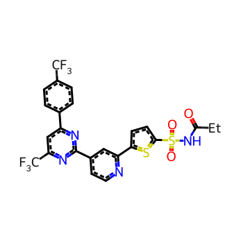 CCC(=O)NS(=O)(=O)c1ccc(-c2cc(-c3nc(-c4ccc(C(F)(F)F)cc4)cc(C(F)(F)F)n3)ccn2)s1